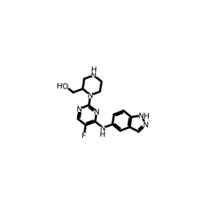 OCC1CNCCN1c1ncc(F)c(Nc2ccc3[nH]ncc3c2)n1